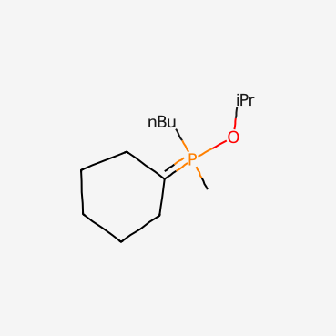 CCCCP(C)(OC(C)C)=C1CCCCC1